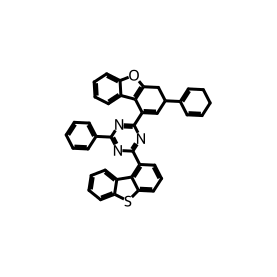 C1=CC(C2C=C(c3nc(-c4ccccc4)nc(-c4cccc5sc6ccccc6c45)n3)c3c(oc4ccccc34)C2)=CCC1